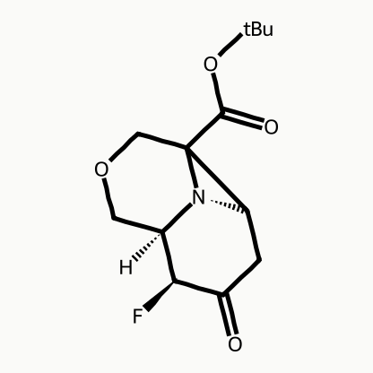 CC(C)(C)OC(=O)C12COC[C@@H]3[C@H](F)C(=O)CC1[N@]32